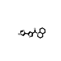 O=C(c1csc(-c2c[nH]cn2)c1)N1CCCC2CCCCC21